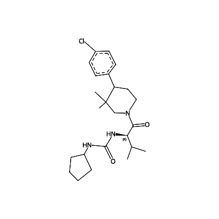 CC(C)[C@@H](NC(=O)NC1CCCC1)C(=O)N1CCC(c2ccc(Cl)cc2)C(C)(C)C1